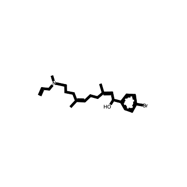 C=CCN(C)CCCC(C)=CCCC(C)=CC(O)c1ccc(Br)cc1